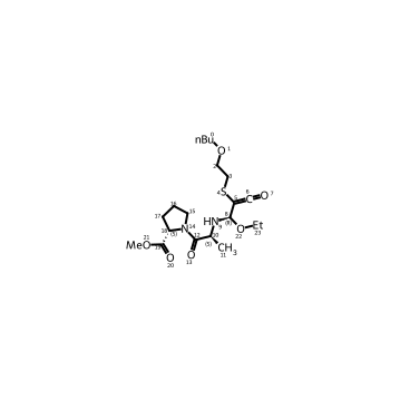 CCCCOCCSC(=C=O)[C@H](N[C@@H](C)C(=O)N1CCC[C@H]1C(=O)OC)OCC